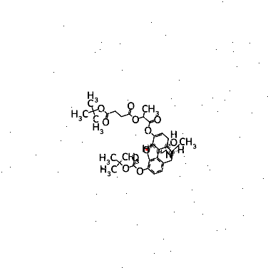 CC(OC(=O)CCC(=O)OC(C)(C)C)C(=O)OC1=CC[C@@]2(O)[C@H]3Cc4ccc(OC(=O)OC(C)(C)C)c5c4[C@@]2(CCN3C)[C@H]1O5